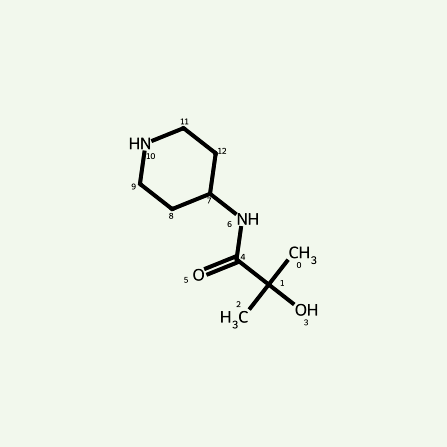 CC(C)(O)C(=O)NC1CCNCC1